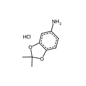 CC1(C)Oc2ccc(N)cc2O1.Cl